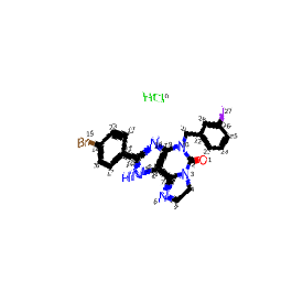 Cl.O=C1N2CCN=C2c2[nH]c(-c3ccc(Br)cc3)nc2N1Cc1cccc(I)c1